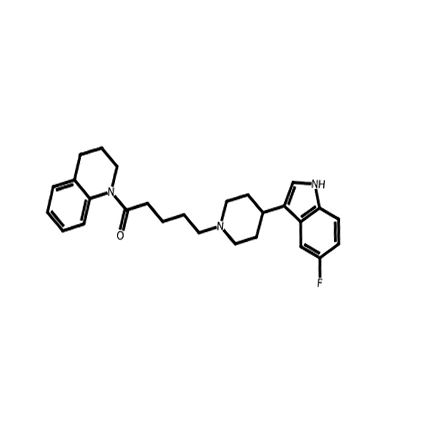 O=C(CCCCN1CCC(c2c[nH]c3ccc(F)cc23)CC1)N1CCCc2ccccc21